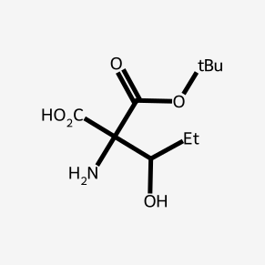 CCC(O)C(N)(C(=O)O)C(=O)OC(C)(C)C